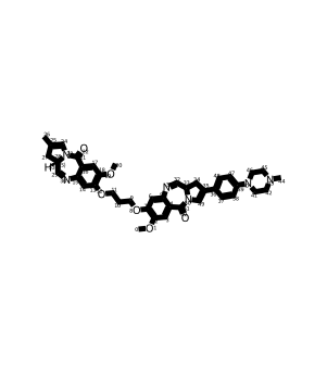 COc1cc2c(cc1OCCCOc1cc3c(cc1OC)C(=O)N1C=C(C)C[C@H]1C=N3)N=CC1CC(c3ccc(N4CCN(C)CC4)cc3)=CN1C2=O